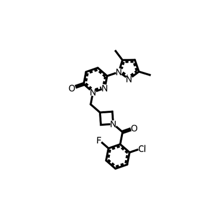 Cc1cc(C)n(-c2ccc(=O)n(CC3CN(C(=O)c4c(F)cccc4Cl)C3)n2)n1